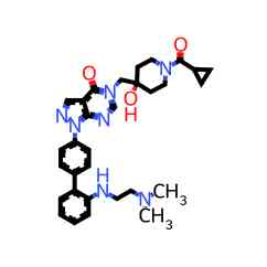 CN(C)CCNc1ccccc1-c1ccc(-n2ncc3c(=O)n(CC4(O)CCN(C(=O)C5CC5)CC4)cnc32)cc1